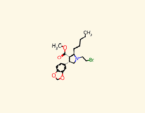 CCCCC[C@@H]1[C@@H](C(=O)OC)[C@@H](c2ccc3c(c2)OCO3)CN1CCBr